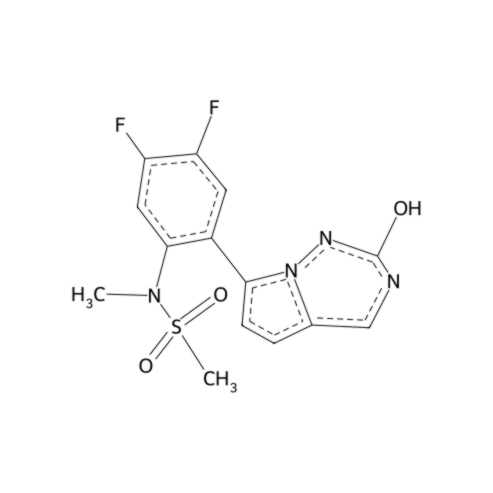 CN(c1cc(F)c(F)cc1-c1ccc2cnc(O)nn12)S(C)(=O)=O